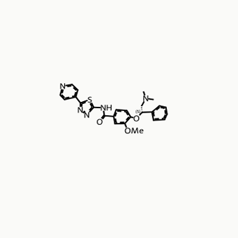 COc1cc(C(=O)Nc2nnc(-c3ccncc3)s2)ccc1O[C@H](CN(C)C)c1ccccc1